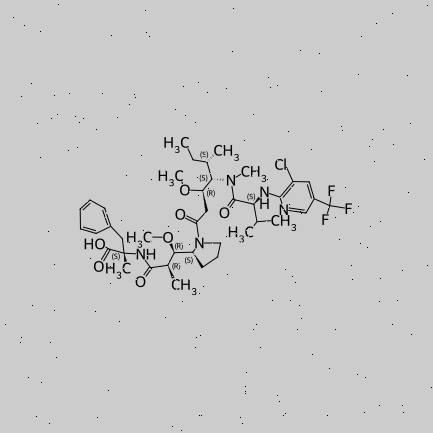 CC[C@H](C)[C@@H]([C@@H](CC(=O)N1CCC[C@H]1[C@H](OC)[C@@H](C)C(=O)N[C@@](C)(Cc1ccccc1)C(=O)O)OC)N(C)C(=O)[C@@H](Nc1ncc(C(F)(F)F)cc1Cl)C(C)C